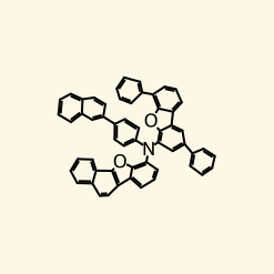 c1ccc(-c2cc(N(c3ccc(-c4ccc5ccccc5c4)cc3)c3cccc4c3oc3c5ccccc5ccc43)c3oc4c(-c5ccccc5)cccc4c3c2)cc1